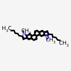 CCCCCCc1cc2cc3ccc4c5cc6c(cc(CCCCCC)n6C)cc5ccc4c3cc2n1C